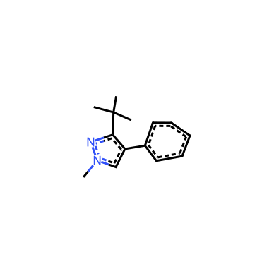 Cn1cc(-c2ccccc2)c(C(C)(C)C)n1